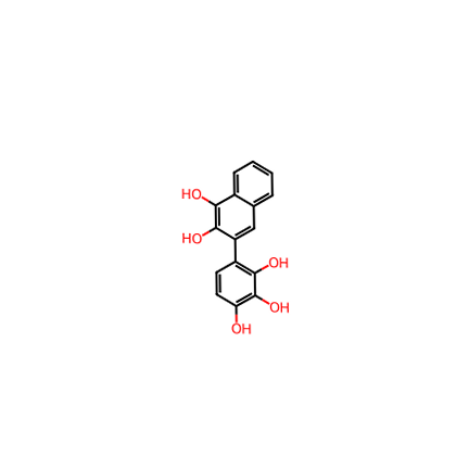 Oc1ccc(-c2cc3ccccc3c(O)c2O)c(O)c1O